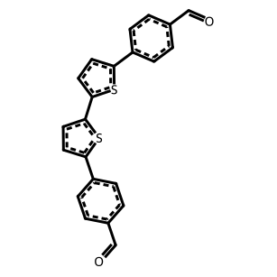 O=Cc1ccc(-c2ccc(-c3ccc(-c4ccc(C=O)cc4)s3)s2)cc1